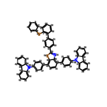 c1ccc2c(c1)sc1c(-c3ccc(-c4nc5c(-c6ccc(-n7c8ccccc8c8ccccc87)cc6)ccc(-c6ccc(-n7c8ccccc8c8ccccc87)cc6)c5s4)cc3)cccc12